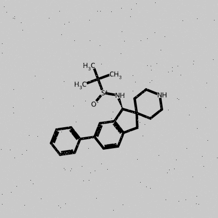 CC(C)(C)[S+]([O-])N[C@@H]1c2cc(-c3ccccc3)ccc2CC12CCNCC2